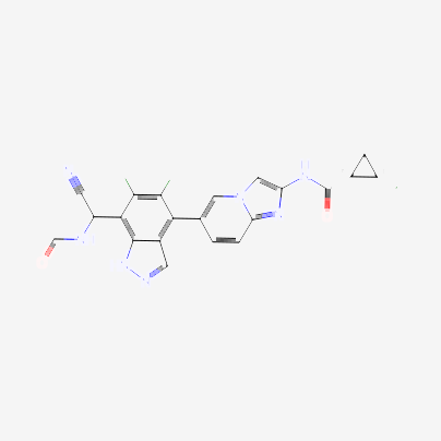 N#CC(NC=O)c1c(F)c(Cl)c(-c2ccc3nc(NC(=O)[C@@H]4C[C@@H]4F)cn3c2)c2cn[nH]c12